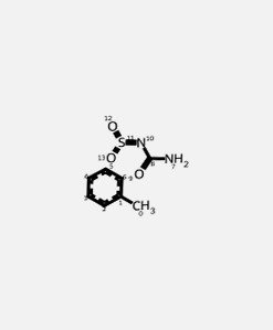 Cc1ccccc1.NC(=O)N=S(=O)=O